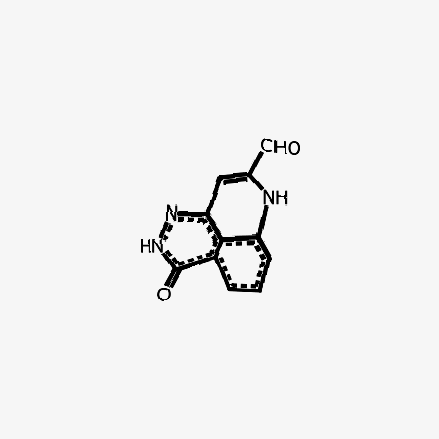 O=CC1=Cc2n[nH]c(=O)c3cccc(c23)N1